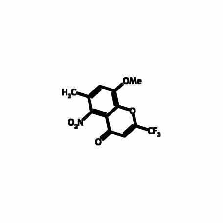 COc1cc(C)c([N+](=O)[O-])c2c(=O)cc(C(F)(F)F)oc12